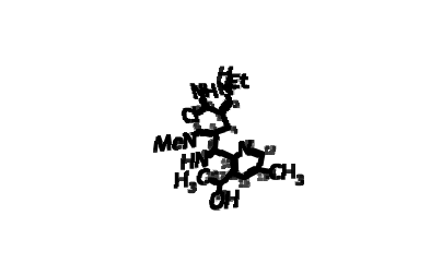 CCN/C=C(/C/C(=C/NC)C(=N)c1ncc(C)cc1C(C)O)C(=N)Cl